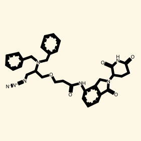 [N-]=[N+]=NCC(COCCC(=O)Nc1cccc2c1CN(C1CCC(=O)NC1=O)C2=O)N(Cc1ccccc1)Cc1ccccc1